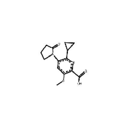 COc1cc(N2CCCC2=O)c(C2CC2)nc1C(=O)O